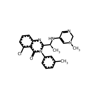 Cc1cccc(-n2c([C@H](C)NC3=CN(C)CN=C3)nc3cccc(Cl)c3c2=O)c1